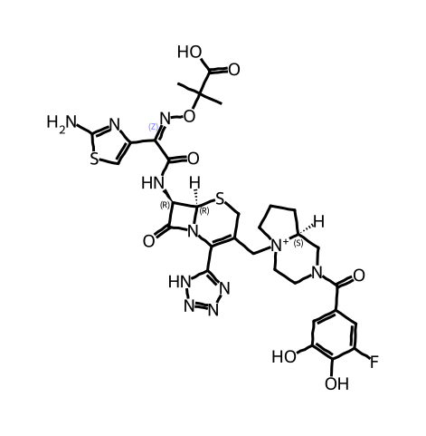 CC(C)(O/N=C(\C(=O)N[C@@H]1C(=O)N2C(c3nnn[nH]3)=C(C[N+]34CCC[C@H]3CN(C(=O)c3cc(O)c(O)c(F)c3)CC4)CS[C@H]12)c1csc(N)n1)C(=O)O